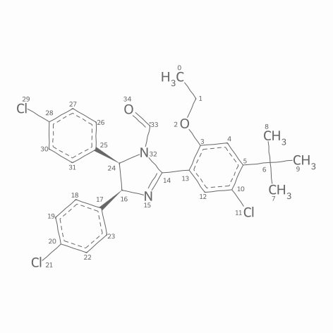 CCOc1cc(C(C)(C)C)c(Cl)cc1C1=N[C@@H](c2ccc(Cl)cc2)[C@@H](c2ccc(Cl)cc2)N1[C]=O